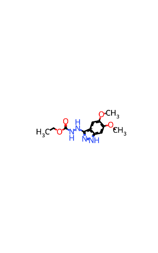 CCOC(=O)NNc1n[nH]c2cc(OC)c(OC)cc12